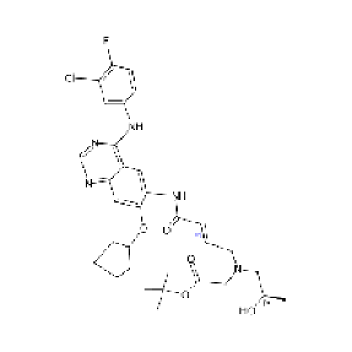 C[C@@H](O)CN(C/C=C/C(=O)Nc1cc2c(Nc3ccc(F)c(Cl)c3)ncnc2cc1OC1CCCC1)CC(=O)OC(C)(C)C